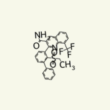 CCS(=O)(=O)c1c(-c2ccccc2)cccc1-c1nc2c(C(F)(F)F)cccc2cc1C(N)=O